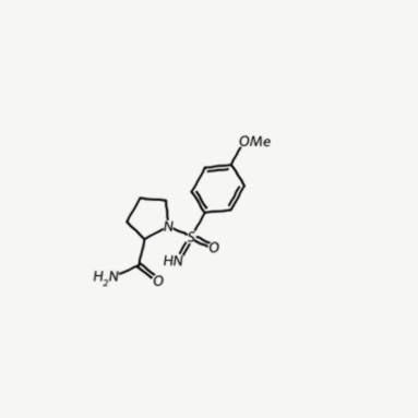 COc1ccc(S(=N)(=O)N2CCCC2C(N)=O)cc1